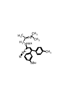 CCCCCCC(=C=[N+]=[N-])C=C(c1ccc(C)cc1)c1cccc(CCCC)c1.C[N](C)[Pd][N](C)C